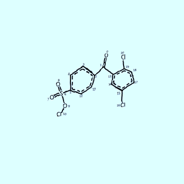 O=C(c1ccc(S(=O)(=O)OCl)cc1)c1cc(Cl)ccc1Cl